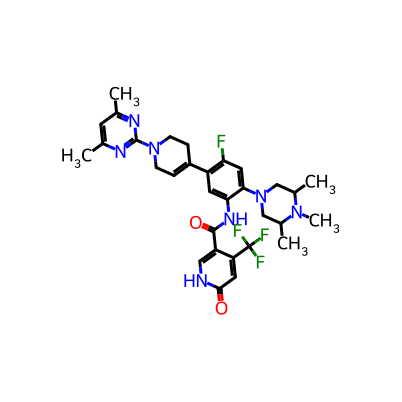 Cc1cc(C)nc(N2CC=C(c3cc(NC(=O)c4c[nH]c(=O)cc4C(F)(F)F)c(N4CC(C)N(C)C(C)C4)cc3F)CC2)n1